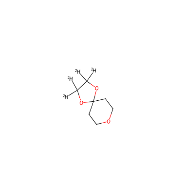 [2H]C1([2H])OC2(CCOCC2)OC1([2H])[2H]